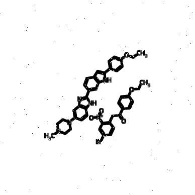 CCOc1ccc(-c2cc3ccc(-c4nc5cc(N6CCN(C)CC6)ccc5[nH]4)cc3[nH]2)cc1.CCOc1ccc(C(=O)Cc2ccc(Br)cc2[N+](=O)[O-])cc1